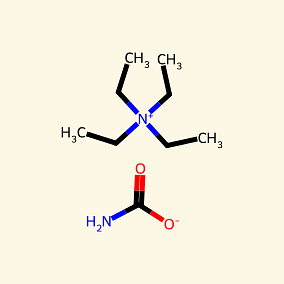 CC[N+](CC)(CC)CC.NC(=O)[O-]